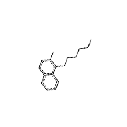 [CH2]CCCCCc1c(C)ccc2ccccc12